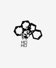 C[SiH](C)[Cr]([F])([F])([F])([F])([F])([C]1=CC=CC1)[C]1(c2cccc3cccnc23)C=CC=CC1.Cl.Cl